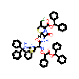 O=C(NC1C(=O)N2C(C(=O)OC(c3ccccc3)c3ccccc3)=C(CCl)CS[C@@H]12)C(=NOC(C(=O)OC(c1ccccc1)c1ccccc1)c1ccccc1)c1csc(NC(c2ccccc2)(c2ccccc2)c2ccccc2)n1